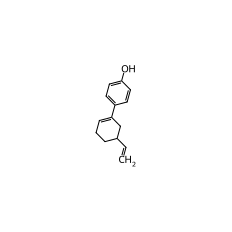 C=CC1CCC=C(c2ccc(O)cc2)C1